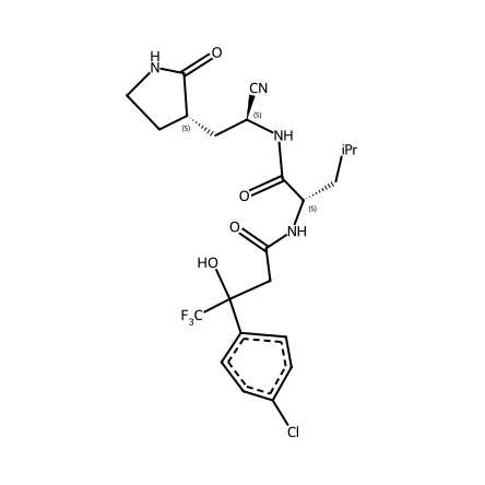 CC(C)C[C@H](NC(=O)CC(O)(c1ccc(Cl)cc1)C(F)(F)F)C(=O)N[C@H](C#N)C[C@@H]1CCNC1=O